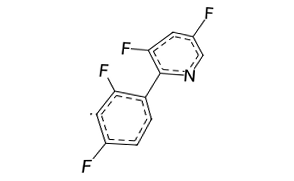 Fc1[c]c(F)c(-c2ncc(F)cc2F)cc1